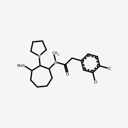 CSC1CCCCC(N(C)C(=O)Cc2ccc(Cl)c(Cl)c2)C1N1CCCC1